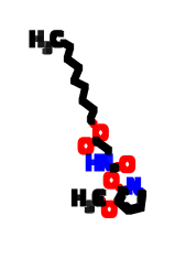 CCCCCCCCCOC(=O)CNC(=O)Oc1ncccc1OC